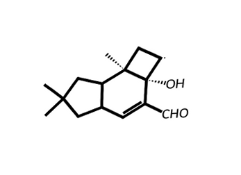 CC1(C)CC2C=C(C=O)[C@]3(O)[CH]C[C@]3(C)C2C1